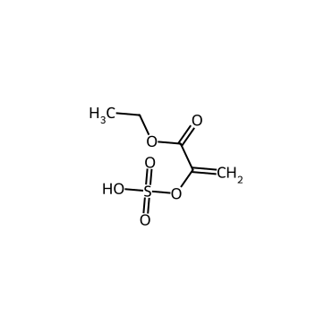 C=C(OS(=O)(=O)O)C(=O)OCC